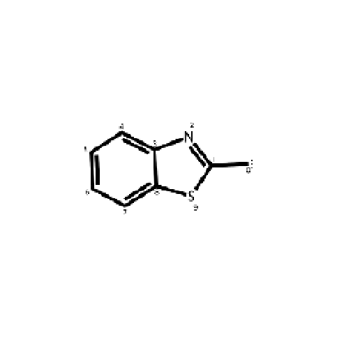 [C]c1nc2ccccc2s1